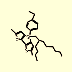 CCCCCCC(CCCC)C[Si]1(c2ccc(CC)cc2)c2cc(C)sc2-c2sc(C)cc21